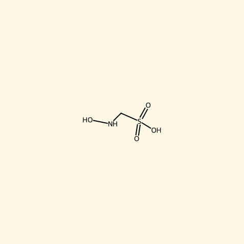 O=S(=O)(O)CNO